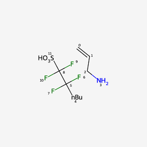 C=CCN.CCCCC(F)(F)C(F)(F)S(=O)(=O)O